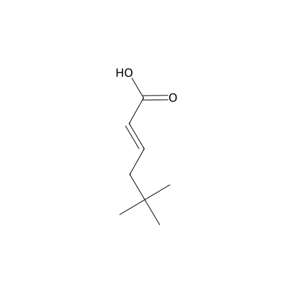 CC(C)(C)CC=CC(=O)O